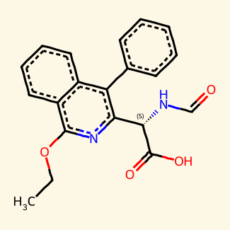 CCOc1nc([C@H](NC=O)C(=O)O)c(-c2ccccc2)c2ccccc12